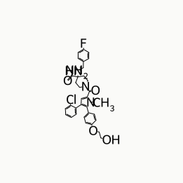 Cn1c(C(=O)N2CCC(NCc3ccc(F)cc3)(C(N)=O)CC2)cc(-c2ccccc2Cl)c1-c1ccc(OCCO)cc1